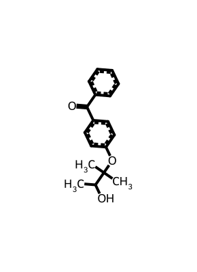 CC(O)C(C)(C)Oc1ccc(C(=O)c2ccccc2)cc1